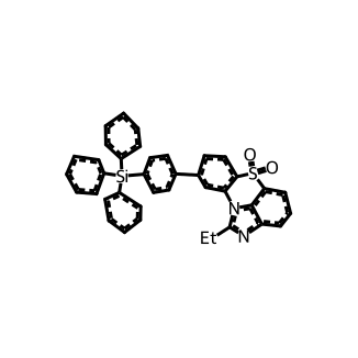 CCc1nc2cccc3c2n1-c1cc(-c2ccc([Si](c4ccccc4)(c4ccccc4)c4ccccc4)cc2)ccc1S3(=O)=O